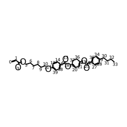 C=CC(=O)OCCCCCCOc1ccc(C(=O)OC2=CC=C(OC(=O)c3ccc(CCCC)cc3)CC2)cc1